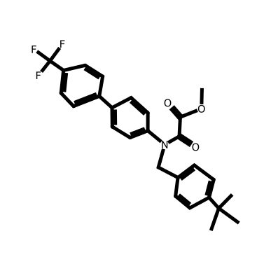 COC(=O)C(=O)N(Cc1ccc(C(C)(C)C)cc1)c1ccc(-c2ccc(C(F)(F)F)cc2)cc1